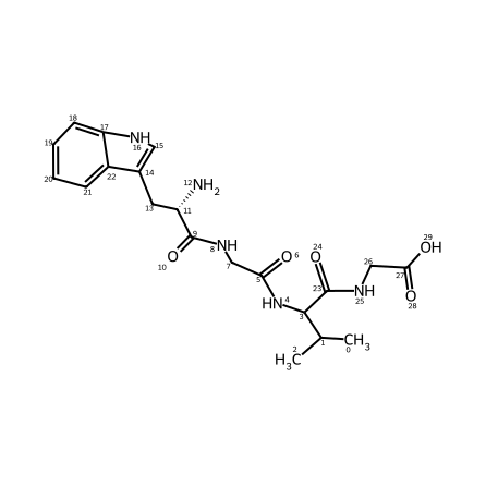 CC(C)C(NC(=O)CNC(=O)[C@@H](N)Cc1c[nH]c2ccccc12)C(=O)NCC(=O)O